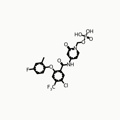 Cc1cc(F)ccc1Oc1cc(C(F)(F)F)c(Cl)cc1C(=O)Nc1ccn(COP(=O)(O)O)c(=O)c1